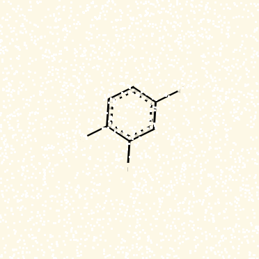 Cc1ccc(C(C)C)[c]c1C(C)C